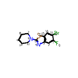 Fc1cc2nc(N3CCCCC3)sc2cc1Br